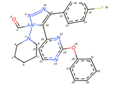 O=C[N+]1(N2CCCCC2)N=NC(c2ccc(F)cc2)=C1c1ccnc(Oc2ccccc2)n1